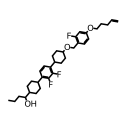 C=CCCCOc1ccc(COC2CCC(c3ccc(C4CCC(C(O)CCC)CC4)c(F)c3F)CC2)c(F)c1